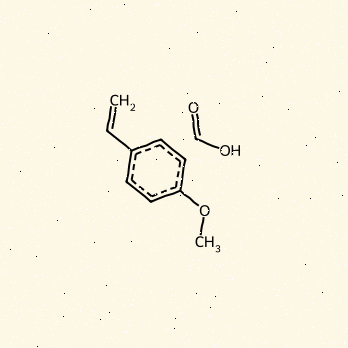 C=Cc1ccc(OC)cc1.O=CO